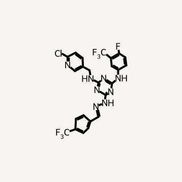 Fc1ccc(Nc2nc(NCc3ccc(Cl)nc3)nc(N/N=C/c3ccc(C(F)(F)F)cc3)n2)cc1C(F)(F)F